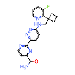 NC(=O)c1ccnc(-c2ccc(NCC3(c4ncccc4F)CCC3)nn2)n1